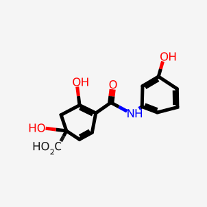 O=C(Nc1cccc(O)c1)C1=C(O)CC(O)(C(=O)O)C=C1